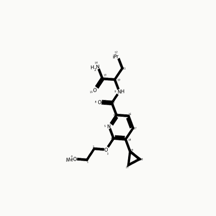 COCCOc1nc(C(=O)NC(CC(C)C)C(N)=O)ccc1C1CC1